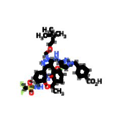 C[C@H](Oc1cc(-c2nn(COCC[Si](C)(C)C)c(Nc3ccn(Cc4ccc(C(=O)O)cc4)n3)c2C(N)=O)ccc1NS(=O)(=O)C(F)F)c1ccc(F)cc1